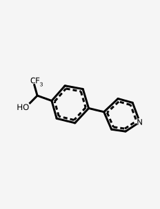 OC(c1ccc(-c2ccncc2)cc1)C(F)(F)F